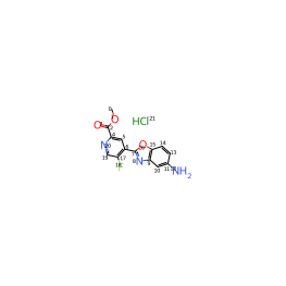 COC(=O)c1cc(-c2nc3cc(N)ccc3o2)c(F)cn1.Cl